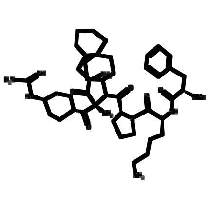 CN[C@@H](Cc1ccccc1)C(=O)N[C@@H](CCCCN)C(=O)N1CCC[C@H]1C(=O)C(C1CCCCC1)[C@@](N)(C(=O)[C@H](N)CC1CCCCC1)C(=O)[C@H]1CC[C@H](NC(=N)N)CC1